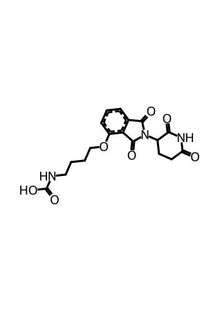 O=C(O)NCCCCOc1cccc2c1C(=O)N(C1CCC(=O)NC1=O)C2=O